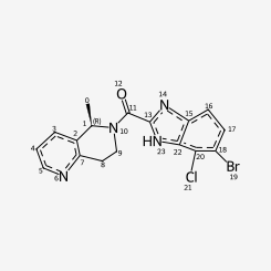 C[C@@H]1c2cccnc2CCN1C(=O)c1nc2ccc(Br)c(Cl)c2[nH]1